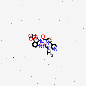 C=CCON(Cc1c(N)cccc1C(=O)OC)C(=O)c1csc(-c2ccncc2)n1